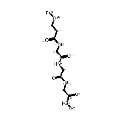 CCNC(=O)CNC(=O)CNC(=O)CNC(=O)CCOCC